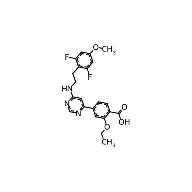 CCOc1cc(-c2cc(NCCc3c(F)cc(OC)cc3F)ncn2)ccc1C(=O)O